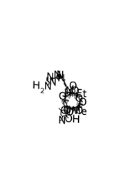 CC[C@H]1OC(=O)[C@@](C)(F)C(=O)[C@H](C)[C@@H](O[C@@H]2OC(C)CC(N(C)C)C2O)[C@](C)(OC)C[C@@H](C)C(=O)[C@H](C)[C@H]2N(CC#CCn3cc(-c4nccc(N)n4)nn3)C(=O)O[C@]12C